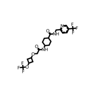 O=C(COC1CC(OC(F)(F)F)C1)NC1CCC(C(=O)NCc2ccc(C(F)(F)F)cn2)CC1